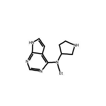 CCN(c1ncnc2[nH]ccc12)C1CCNC1